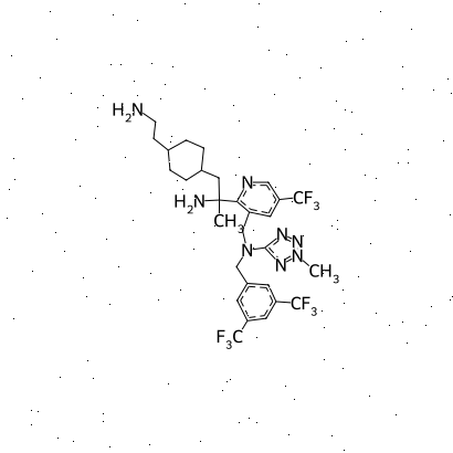 Cn1nnc(N(Cc2cc(C(F)(F)F)cc(C(F)(F)F)c2)Cc2cc(C(F)(F)F)cnc2C(C)(N)CC2CCC(CCN)CC2)n1